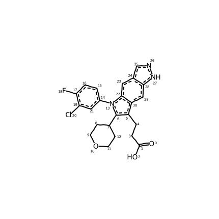 O=C(O)CCc1c(C2CCOCC2)n(-c2ccc(F)c(Cl)c2)c2cc3cn[nH]c3cc12